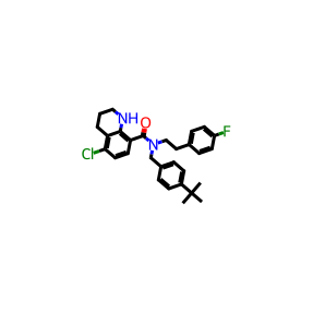 CC(C)(C)c1ccc(CN(CCc2ccc(F)cc2)C(=O)c2ccc(Cl)c3c2NCCC3)cc1